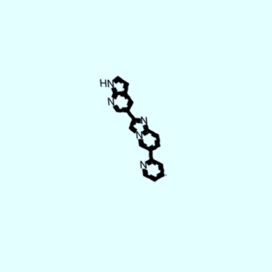 [c]1ccnc(-c2ccc3nc(-c4cnc5[nH]ccc5c4)cn3c2)c1